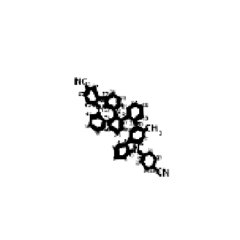 CC1Cc2c(c3ccccc3n2C2=CCC(C#N)CC2)C=C1C1=CCCC=C1c1ccccc1-c1cccc2c3cc(C#N)ccc3n(-c3ccccc3)c12